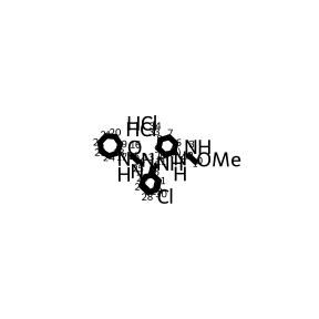 COCC(=N)N[C@@H]1CCCC[C@@H]1Nc1nc(C(=O)NC2CCCCCC2)nc2ccc(Cl)cc12.Cl.Cl